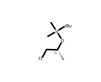 C[C@H](CCl)O[Si](C)(C)C(C)(C)C